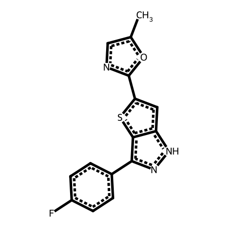 Cc1cnc(-c2cc3[nH]nc(-c4ccc(F)cc4)c3s2)o1